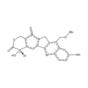 CC[C@@]1(O)C(=O)OCc2c1cc1n(c2=O)Cc2c-1nc1ccc(O)cc1c2COC(C)(C)C